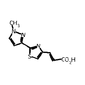 Cn1ccc(-c2nc(C=CC(=O)O)cs2)n1